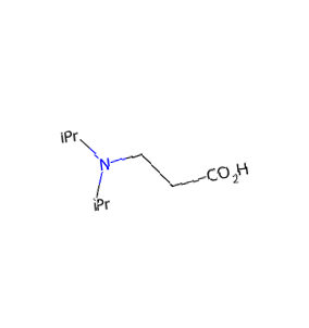 CC(C)N(CCC(=O)O)C(C)C